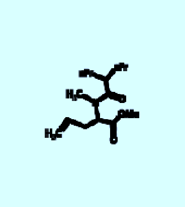 C=CCC(C(=O)OC)N(C)C(=O)C(CCC)CCC